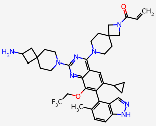 C=CC(=O)N1CC2(CCN(c3nc(N4CCC5(CC4)CC(N)C5)nc4c(OCC(F)(F)F)c(-c5c(C)ccc6[nH]ncc56)c(C5CC5)cc34)CC2)C1